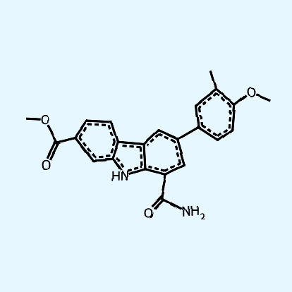 COC(=O)c1ccc2c(c1)[nH]c1c(C(N)=O)cc(-c3ccc(OC)c(C)c3)cc12